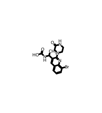 CC(NC(=O)O)c1cc2cccc(Br)c2nc1N1CCNC(=O)C1